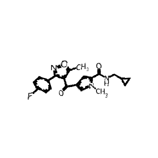 Cc1onc(-c2ccc(F)cc2)c1C(=O)c1cc(C(=O)NCC2CC2)n(C)c1